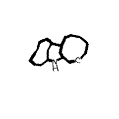 C1CCCC2CC(CCC1)C1CCCCCCC(C1)N2